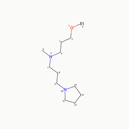 CCOCCCN(C)CCCN1CCCC1